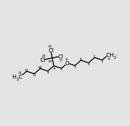 [CH2]CCCCCOCC(CCCCC)C(Cl)(Cl)Cl